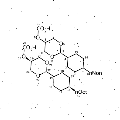 CCCCCCCCCC1CCC(C2OCC(OC(=O)O)CO2)CC1.CCCCCCCC[C@H]1CC[C@H]([C@H]2OC[C@H](OC(=O)O)CO2)CC1